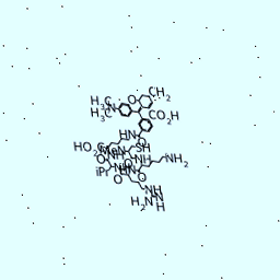 C=C1C=CC2=C(c3cc(C(=O)NCCCCC(NC(=O)C(NC(=O)C(CCCNC(=N)N)NC(=O)C(CCCCN)NC(=O)C(CS)NC)C(C)C)C(=O)O)ccc3C(=O)O)c3ccc(N(C)C)cc3OC2C1